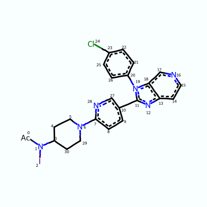 CC(=O)N(I)C1CCN(c2ccc(-c3nc4ccncc4n3-c3ccc(Cl)cc3)cn2)CC1